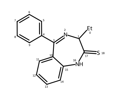 CCC1N=C(c2ccccc2)c2ccccc2NC1=S